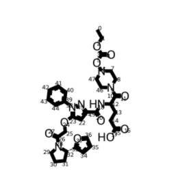 CCOC(=O)ON1CCN(C(=O)C(CCC(=O)O)NC(=O)c2cc(OCC(=O)N3CCC[C@H]3c3ccco3)n(-c3ccccc3)n2)CC1